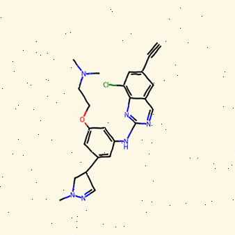 C#Cc1cc(Cl)c2nc(Nc3cc(OCCN(C)C)cc(C4C=NN(C)C4)c3)ncc2c1